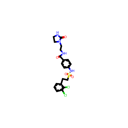 O=C(NCCN1CCNC1=O)c1ccc(NS(=O)(=O)CCc2cccc(Cl)c2Cl)cc1